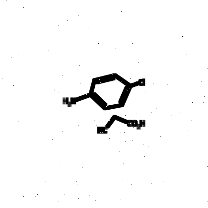 N#CCC(=O)O.Nc1ccc(Cl)cc1